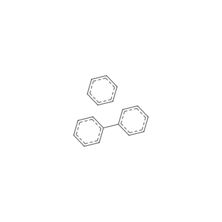 c1ccc(-c2ccccc2)cc1.c1ccccc1